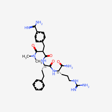 CN(C)C(=O)C(Cc1ccc(C(=N)N)cc1)C(=O)N[C@@H](CCc1ccccc1)C(=O)N[C@@H](CCCNC(=N)N)C(N)=O